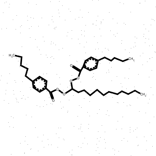 [CH2]CCCCCCCCCC[C](OOC(=O)c1ccc(CCCCC)cc1)OOC(=O)c1ccc(CCCCC)cc1